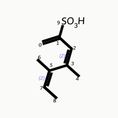 C=C(/C=C(C)\C(C)=C/C)S(=O)(=O)O